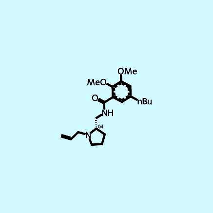 C=CCN1CCC[C@H]1CNC(=O)c1cc(CCCC)cc(OC)c1OC